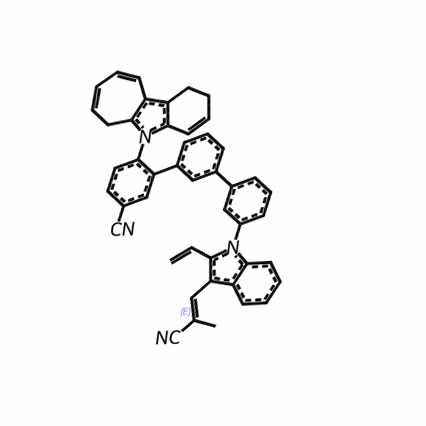 C=Cc1c(/C=C(\C)C#N)c2ccccc2n1-c1cccc(-c2cccc(-c3cc(C#N)ccc3-n3c4c(c5c3CC=CC=C5)CCC=C4)c2)c1